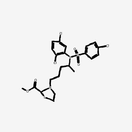 COC(=O)C1SCCN1CCCC(C)N(c1cc(Cl)ccc1Cl)S(=O)(=O)c1ccc(Cl)cc1